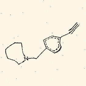 [C]#Cc1ccc(CN2CCCCC2)cc1